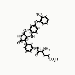 N#Cc1ccccc1Oc1ccc(NC2=C(c3cccc(NC(=O)C(N)CCC(=O)O)c3)C(=O)NC2=O)cc1